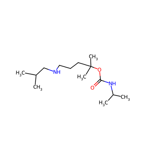 CC(C)CNCCCC(C)(C)OC(=O)NC(C)C